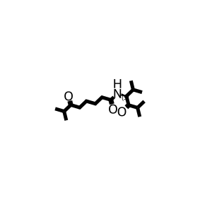 CC(C)C(=O)CCCCC(=O)N[C@H](C(=O)C(C)C)C(C)C